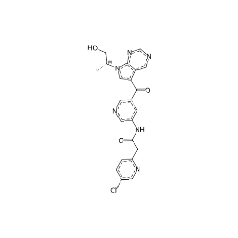 C[C@H](CO)n1cc(C(=O)c2cncc(NC(=O)Cc3ccc(Cl)cn3)c2)c2cncnc21